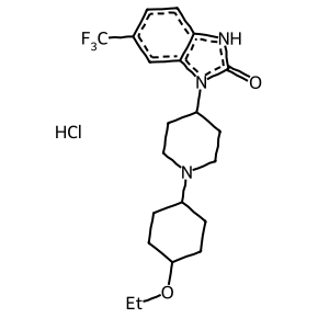 CCOC1CCC(N2CCC(n3c(=O)[nH]c4ccc(C(F)(F)F)cc43)CC2)CC1.Cl